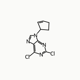 Clc1nc(Cl)c2ncn(C3C=CCC3)c2n1